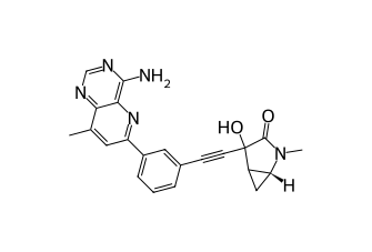 Cc1cc(-c2cccc(C#CC3(O)C(=O)N(C)[C@@H]4CC43)c2)nc2c(N)ncnc12